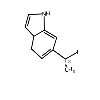 C[C@@H](I)C1=CCC2C=CNC2=C1